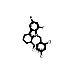 O=C(O)CC1CCCc2c1n(Cc1ccc(Cl)cc1Cl)c1c(F)cc(F)cc21